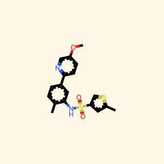 COc1ccc(-c2ccc(C)c(NS(=O)(=O)c3csc(C)c3)c2)nc1